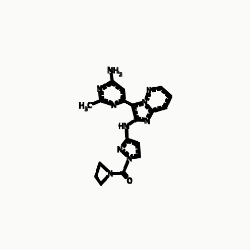 Cc1nc(N)cc(-c2c(Nc3ccn(C(=O)N4CCC4)n3)nc3cccnn23)n1